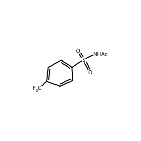 CC(=O)NS(=O)(=O)c1ccc(C(F)(F)F)cc1